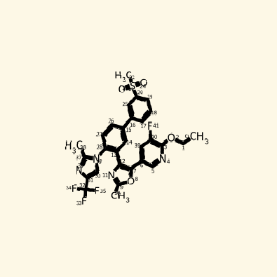 CCOc1ncc(-c2oc(C)nc2-c2cc(-c3cccc(S(C)(=O)=O)c3)ccc2-n2cc(C(F)(F)F)nc2C)cc1F